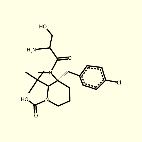 CN(C(=O)C(N)CO)[C@@]1(Cc2ccc(Cl)cc2)CCCN(C(=O)O)C1C(C)(C)C